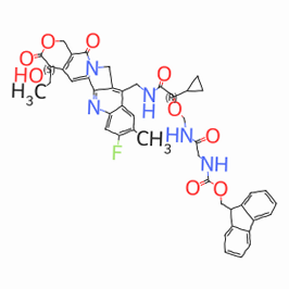 CC[C@@]1(O)C(=O)OCc2c1cc1n(c2=O)Cc2c-1nc1cc(F)c(C)cc1c2CNC(=O)[C@H](OCNC(=O)CNC(=O)OCC1c2ccccc2-c2ccccc21)C1CC1